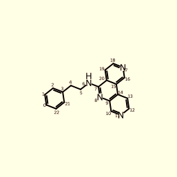 c1ccc(CCNc2nc3cnccc3c3cnccc23)cc1